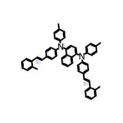 Cc1ccc(N(c2ccc(/C=C/c3ccccc3C)cc2)c2ccc(N(c3ccc(C)cc3)c3ccc(/C=C/c4ccccc4C)cc3)c3ccccc23)cc1